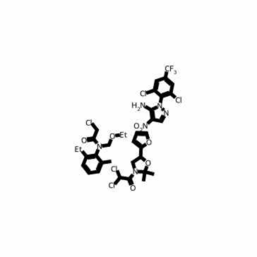 CC1(C)OC(c2ccco2)CN1C(=O)C(Cl)Cl.CCOCN(C(=O)CCl)c1c(C)cccc1CC.Nc1c([N+](=O)[O-])cnn1-c1c(Cl)cc(C(F)(F)F)cc1Cl